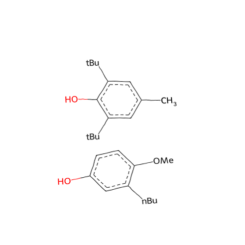 CCCCc1cc(O)ccc1OC.Cc1cc(C(C)(C)C)c(O)c(C(C)(C)C)c1